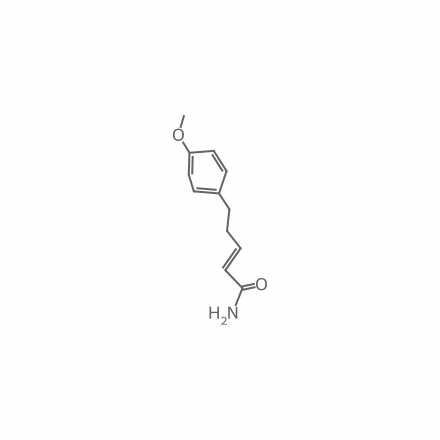 COc1ccc(CCC=CC(N)=O)cc1